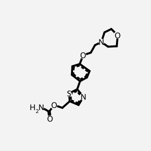 NC(=O)OCc1cnc(-c2ccc(OCCN3CCOCC3)cc2)s1